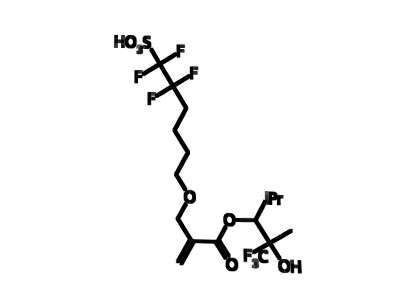 C=C(COCCCCC(F)(F)C(F)(F)S(=O)(=O)O)C(=O)OC(C(C)C)C(C)(O)C(F)(F)F